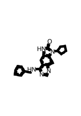 O=c1[nH]c2cc3c(NCc4ccccc4)ncnc3cc2n1C1CCCC1